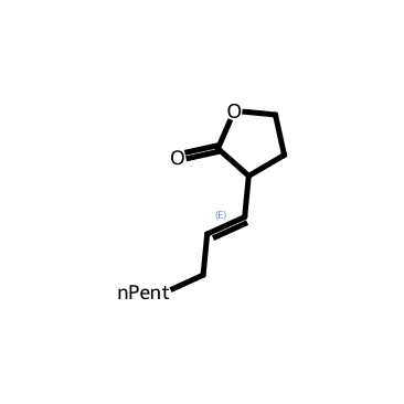 CCCCCC/C=C/C1CCOC1=O